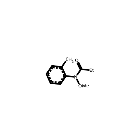 CCC(=O)N(OC)c1ccccc1C